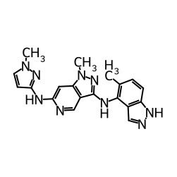 Cc1ccc2[nH]ncc2c1Nc1nn(C)c2cc(Nc3ccn(C)n3)ncc12